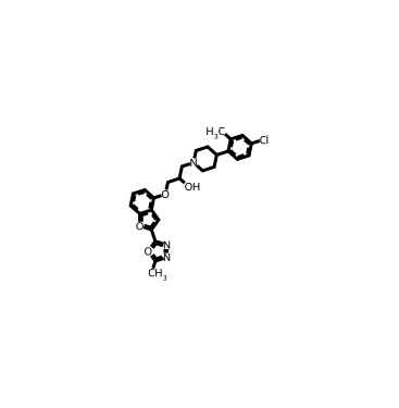 Cc1nnc(-c2cc3c(OCC(O)CN4CCC(c5ccc(Cl)cc5C)CC4)cccc3o2)o1